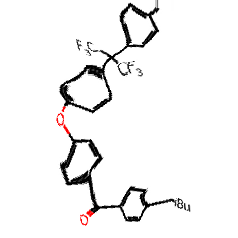 CCC(C)c1ccc(C(=O)c2ccc(Oc3ccc(C(c4ccc(OC)cc4)(C(F)(F)F)C(F)(F)F)cc3)cc2)cc1